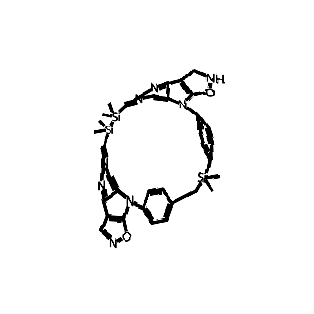 C[Si]1(C)Cc2ccc(cc2)-n2c3cnc(nc3c3cnoc32)[Si](C)(C)[Si](C)(C)c2ncc3c(n2)c2c(n3-c3ccc1cc3)ONC2